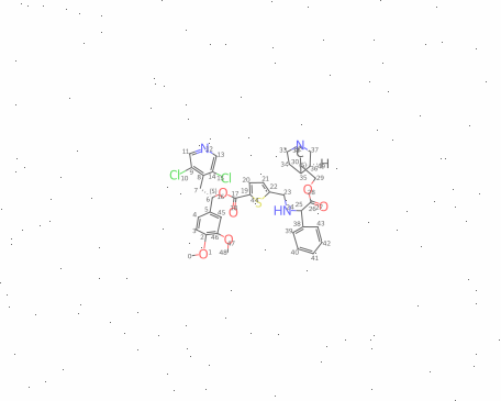 COc1ccc([C@H](Cc2c(Cl)cncc2Cl)OC(=O)c2ccc(CNC(C(=O)OC[C@@H]3CN4CCC3CC4)c3ccccc3)s2)cc1OC